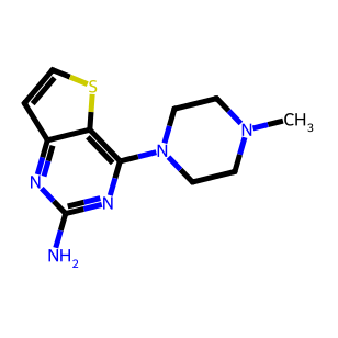 CN1CCN(c2nc(N)nc3ccsc23)CC1